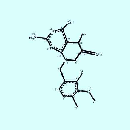 COc1c(C)cnc(CN2CC(=O)C(C)c3c(Cl)nc(N)nc32)c1C